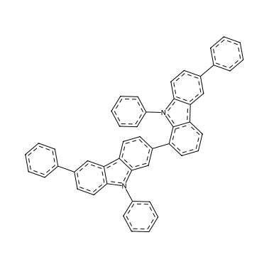 c1ccc(-c2ccc3c(c2)c2ccc(-c4cccc5c6cc(-c7ccccc7)ccc6n(-c6ccccc6)c45)cc2n3-c2ccccc2)cc1